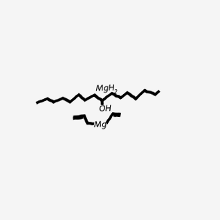 C=C[CH2][Mg][CH2]C=C.CCCCCCCCC(O)CCCCCCC.[MgH2]